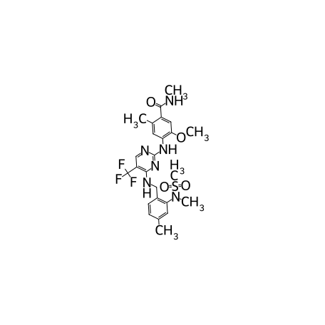 CNC(=O)c1cc(OC)c(Nc2ncc(C(F)(F)F)c(NCc3ccc(C)cc3N(C)S(C)(=O)=O)n2)cc1C